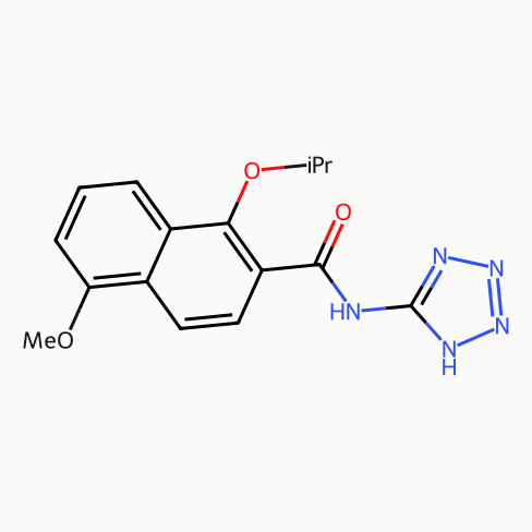 COc1cccc2c(OC(C)C)c(C(=O)Nc3nnn[nH]3)ccc12